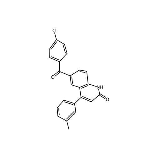 Cc1cccc(-c2cc(=O)[nH]c3ccc(C(=O)c4ccc(Cl)cc4)cc23)c1